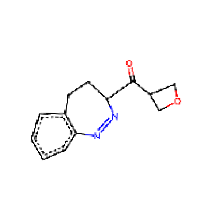 O=C(C1COC1)C1CCc2ccccc2N=N1